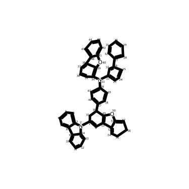 C1=C(n2c3ccccc3c3ccccc32)CC(c2ccc(N(c3cccc(-c4ccccc4)c3)c3cccc4c3oc3ccccc34)cc2)c2oc3c(c21)=CCCC=3